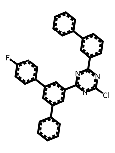 Fc1ccc(-c2cc(-c3ccccc3)cc(-c3nc(Cl)nc(-c4cccc(-c5ccccc5)c4)n3)c2)cc1